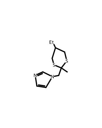 CCC1CSC(C)(Cn2ccnc2)SC1